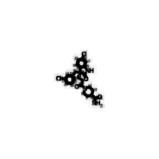 CC(C)N(CC(=O)N1CCC(C(N)=O)CC1)C1(Cc2cccc(Cl)c2)C(=O)Nc2cc(Cl)ccc21